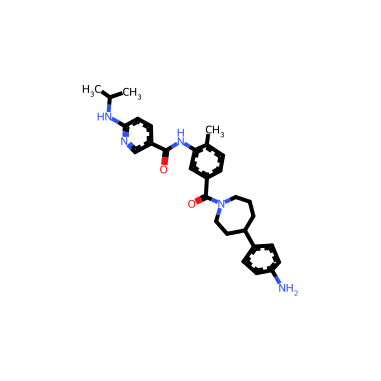 Cc1ccc(C(=O)N2CCCC(c3ccc(N)cc3)CC2)cc1NC(=O)c1ccc(NC(C)C)nc1